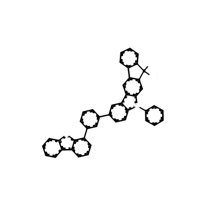 CC1(C)c2ccccc2-c2cc3c4cc(-c5cccc(-c6cccc7c6sc6ccccc67)c5)ccc4n(-c4ccccc4)c3cc21